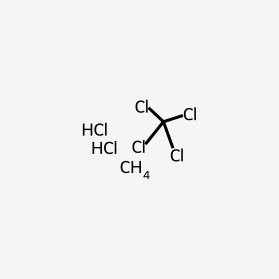 C.Cl.Cl.ClC(Cl)(Cl)Cl